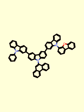 c1ccc(-n2c3ccccc3c3ccc(-c4ccc5c(c4)c4cc(-c6ccc7c8ccccc8n(-c8cccc9c8oc8ccccc89)c7c6)ccc4n5-c4cc5ccccc5c5ccccc45)cc32)cc1